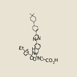 CCc1ccc(C(=O)N[C@@H](Cc2ccc(-c3ncc(C4=CCC(C5CCC(C)(C)CC5)CC4)cn3)cc2)C(=O)N2CC(C(=O)O)C2)s1